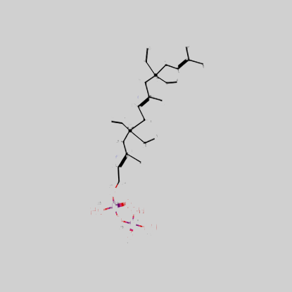 CCC(CC)(CC=C(C)C)C/C(C)=C/CC(CC)(CC)C/C(C)=C/COP(=O)(O)OP(=O)(O)O